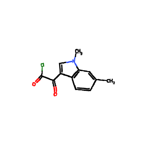 Cc1ccc2c(C(=O)C(=O)Cl)cn(C)c2c1